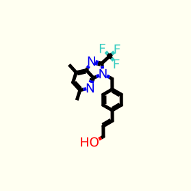 Cc1cc(C)c2nc(C(F)(F)F)n(Cc3ccc(C=CCO)cc3)c2n1